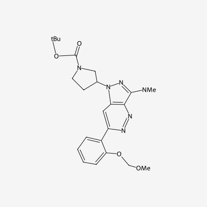 CNc1nn(C2CCN(C(=O)OC(C)(C)C)C2)c2cc(-c3ccccc3OCOC)nnc12